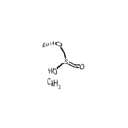 O=S(O)O.[CaH2].[Eu]